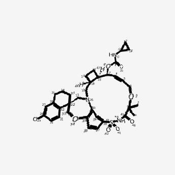 CC1(C)OCC=C[C@H](OC(=O)NC2CC2)[C@@H]2CC[C@H]2CN2C[C@@]3(CCCc4cc(Cl)ccc43)COc3ccc(cc32)S(=O)(=O)NC1=O